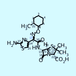 C[C@H]1CCCC[C@H]1O/N=C(\C(=O)N[C@H]1C(=O)N2[C@@H]1SC(C)(C)[C@@H]2C(=O)O)c1csc(N)n1